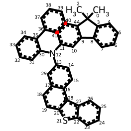 CC1(C)c2ccccc2-c2cc(N(c3ccc4c(ccc5sc6ccccc6c54)c3)c3ccccc3-c3ccccc3)ccc21